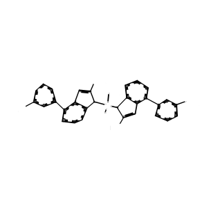 CC1=Cc2c(-c3cccc(C)c3)cccc2C1[Si](C)(C)C1C(C)=Cc2c(-c3cccc(C)c3)cccc21